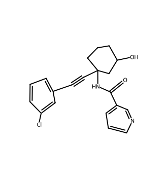 O=C(NC1(C#Cc2cccc(Cl)c2)CCCC(O)C1)c1cccnc1